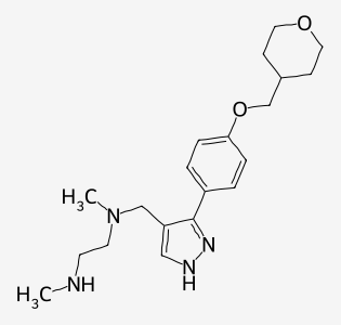 CNCCN(C)Cc1c[nH]nc1-c1ccc(OCC2CCOCC2)cc1